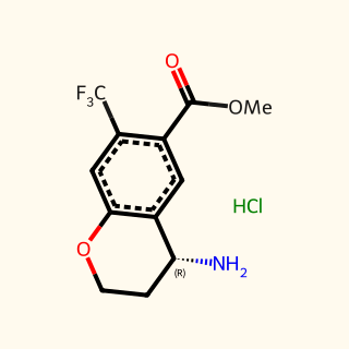 COC(=O)c1cc2c(cc1C(F)(F)F)OCC[C@H]2N.Cl